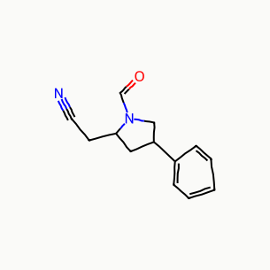 N#CCC1CC(c2ccccc2)CN1C=O